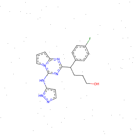 OCCCC(c1ccc(F)cc1)c1nc(Nc2ccn[nH]2)n2cccc2n1